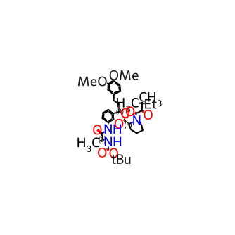 CCC(C)(C)C(=O)C(=O)N1CCCC[C@H]1C(=O)O[C@H](CCc1ccc(OC)c(OC)c1)c1cccc(NC(=O)[C@H](C)NC(=O)OC(C)(C)C)c1